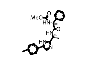 COC(=O)N[C@@H](C(=O)N[C@@H](C)c1ncc(-c2ccc(C)cc2)[nH]1)c1ccccc1